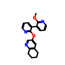 COc1ncccc1-c1cccnc1Oc1cnc2c(c1)CCCC2